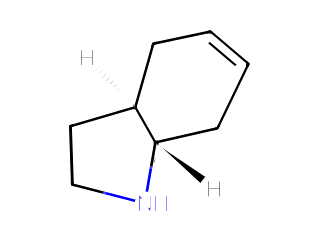 C1=CC[C@@H]2NCC[C@H]2C1